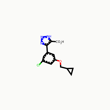 O=C(O)c1[nH]nnc1-c1cc(Cl)cc(OCC2CC2)c1